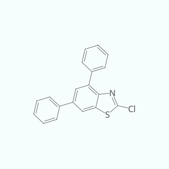 Clc1nc2c(-c3ccccc3)cc(-c3ccccc3)cc2s1